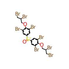 [O-][S+](c1cc(Br)c(OCC(Br)CBr)c(Br)c1)c1cc(Br)c(OCC(Br)CBr)c(Br)c1